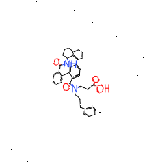 O=C(O)CCN(CCCc1ccccc1)C(=O)c1ccccc1-c1ccccc1C(=O)NC1CCCc2ccccc21